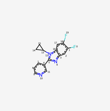 Fc1cc2nc(-c3cccnc3)n(C3CC3)c2cc1F